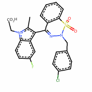 Cc1c(C2=NN(Cc3ccc(Cl)cc3)S(=O)(=O)c3ccccc32)c2cc(F)ccc2n1CC(=O)O